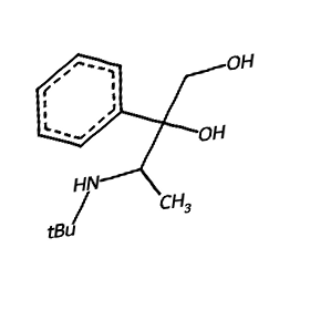 CC(NC(C)(C)C)C(O)(CO)c1ccccc1